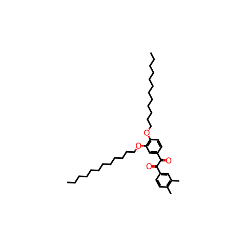 CCCCCCCCCCCCOc1ccc(C(=O)C(=O)c2ccc(C)c(C)c2)cc1OCCCCCCCCCCCC